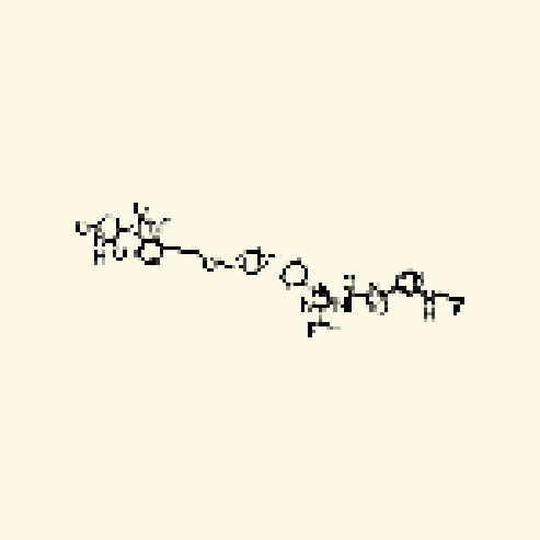 Cn1c(=O)n(C2CCC(=O)NC2=O)c2cccc(CCCOCCN3CCN(C[C@H]4CC[C@H](n5cc(NC(=O)c6coc(-c7ccnc(NCC8CC8)c7)n6)c(C(F)F)n5)CC4)CC3)c21